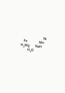 O.[Fe].[MgH2].[Mn].[NaH].[Ni]